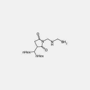 BCNCN1C(=O)CC(C(CCCCCC)CCCCCC)C1=O